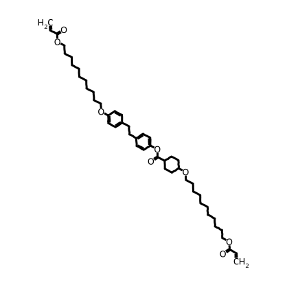 C=CC(=O)OCCCCCCCCCCCOc1ccc(CCc2ccc(OC(=O)C3CCC(OCCCCCCCCCCCOC(=O)C=C)CC3)cc2)cc1